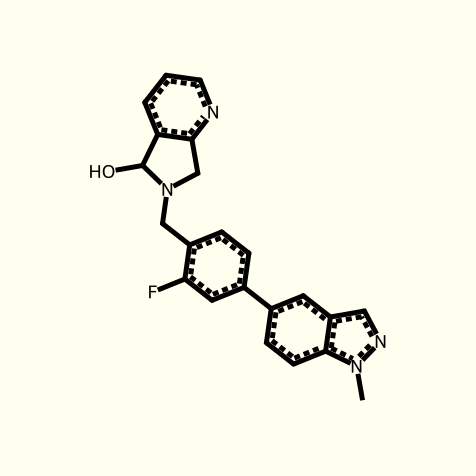 Cn1ncc2cc(-c3ccc(CN4Cc5ncccc5C4O)c(F)c3)ccc21